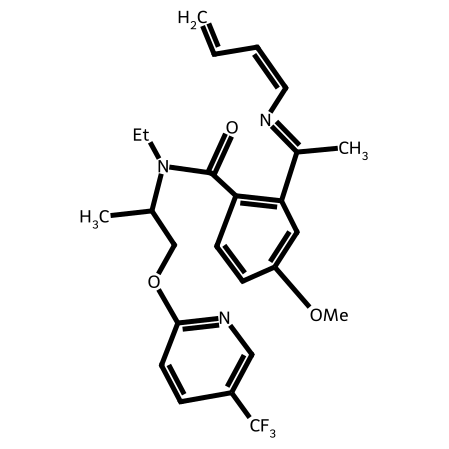 C=C/C=C\N=C(/C)c1cc(OC)ccc1C(=O)N(CC)C(C)COc1ccc(C(F)(F)F)cn1